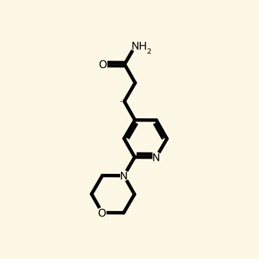 NC(=O)C[CH]c1ccnc(N2CCOCC2)c1